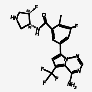 Cc1c(F)cc(-c2cc(C(F)(F)F)c3c(N)ncnn23)cc1C(=O)N[C@@H]1CNC[C@@H]1F